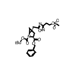 CC(C)(C)OC(=O)N1C2C[C@]2(Cc2nc(CCOS(C)(=O)=O)no2)C[C@H]1C(=O)OCc1ccccc1